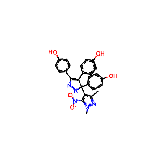 Cc1nn(C)c([N+](=O)[O-])c1C1(c2ccc(O)cc2)N=NC(c2ccc(O)cc2)=C1c1ccc(O)cc1